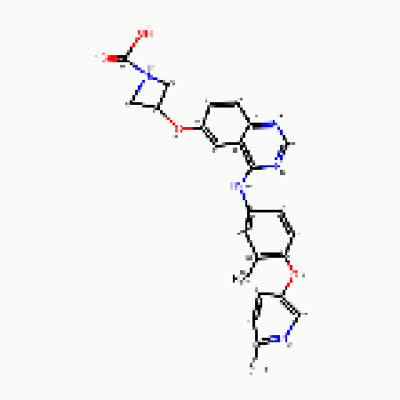 Cc1ccc(Oc2ccc(Nc3ncnc4ccc(OC5CN(C(=O)O)C5)cc34)cc2C)cn1